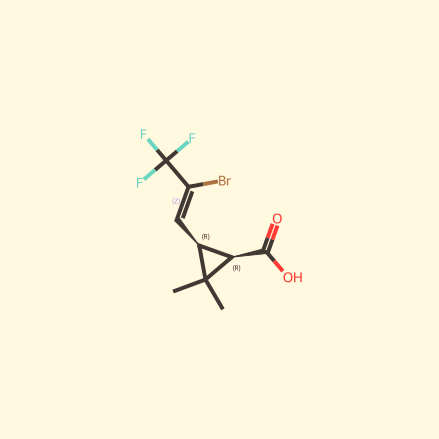 CC1(C)[C@H](C(=O)O)[C@@H]1/C=C(\Br)C(F)(F)F